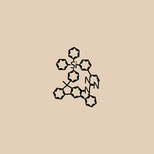 CC1(C)c2ccccc2-c2cc3c4ccccc4n(-c4nccc(-c5cccc([Si](c6ccccc6)(c6ccccc6)c6ccccc6)c5)n4)c3cc21